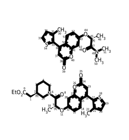 CCOC(=O)C[C@H]1CCCN(C(=O)[C@@H](C)Oc2ccc3c(-c4sccc4C)cc(=O)oc3c2)C1.Cc1ccsc1-c1cc(=O)oc2cc(O[C@H](C)C(=O)N(C)C)ccc12